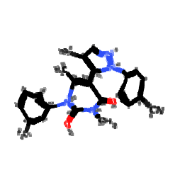 CCCc1cnn(-c2ccc(C#N)cc2)c1-c1c(C)n(-c2cccc(C(F)(F)F)c2)c(=O)n(C)c1=O